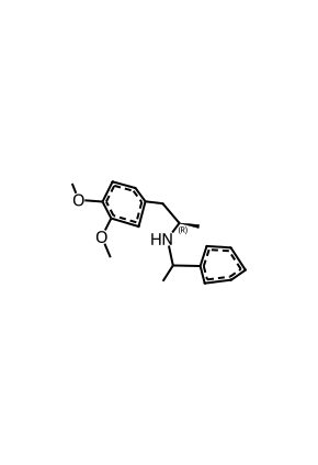 COc1ccc(C[C@@H](C)NC(C)c2ccccc2)cc1OC